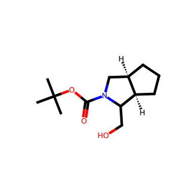 CC(C)(C)OC(=O)N1C[C@H]2CCC[C@H]2C1CO